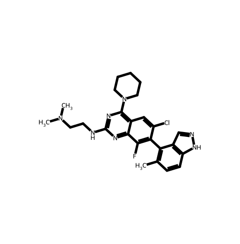 Cc1ccc2[nH]ncc2c1-c1c(Cl)cc2c(N3CCCCC3)nc(NCCN(C)C)nc2c1F